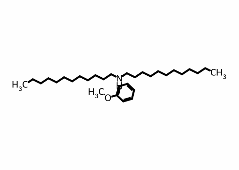 CCCCCCCCCCCCNCCCCCCCCCCCC.COc1ccccc1